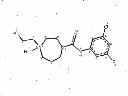 C[N+]1(CCO)CCCN(C(=O)Nc2cc(Cl)cc(Cl)c2)CC1.[I-]